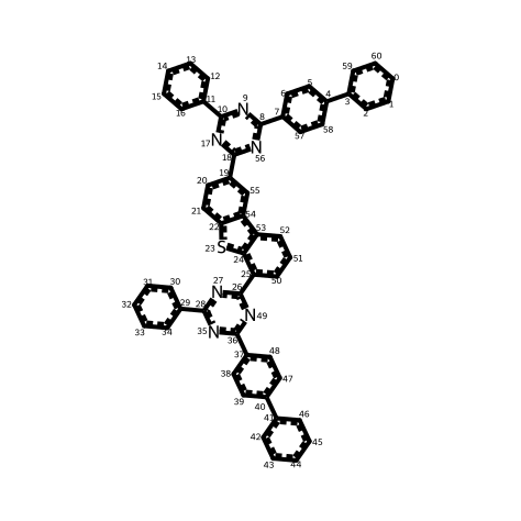 c1ccc(-c2ccc(-c3nc(-c4ccccc4)nc(-c4ccc5sc6c(-c7nc(-c8ccccc8)nc(-c8ccc(-c9ccccc9)cc8)n7)cccc6c5c4)n3)cc2)cc1